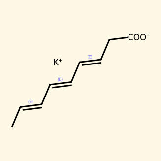 C/C=C/C=C/C=C/CC(=O)[O-].[K+]